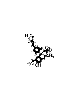 COC(=O)/C=C/c1cc(F)c([C@H]2c3cc(/C=N/O)c(O)cc3C[C@H](C)N2CC(C)(C)F)c(F)c1